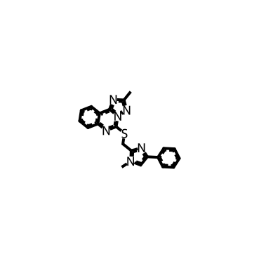 Cc1nc2c3ccccc3nc(SCc3nc(-c4ccccc4)cn3C)n2n1